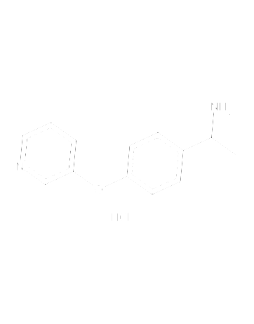 CC(N)c1ccc(Oc2cccnc2)cc1.Cl